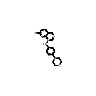 O=c1ccc2cncn(Nc3ccc(N4CCOCC4)cc3)c-2n1